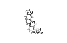 COC1(C)C=Cc2c(cnc3c4c(ccc23)=CC2OCOC2=C4)=C1O